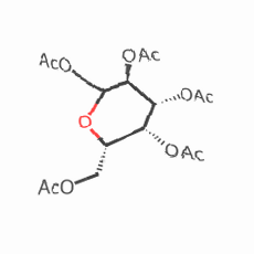 CC(=O)OC[C@@H]1OC(OC(C)=O)[C@@H](OC(C)=O)[C@H](OC(C)=O)[C@@H]1OC(C)=O